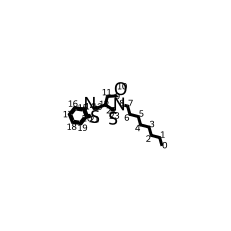 CCCCCCCCN1C(=O)CC(c2nc3ccccc3s2)C1=S